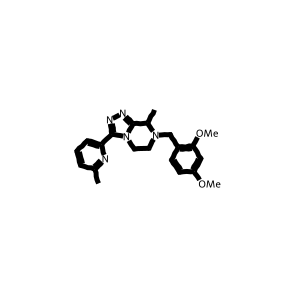 COc1ccc(CN2CCn3c(-c4cccc(C)n4)nnc3C2C)c(OC)c1